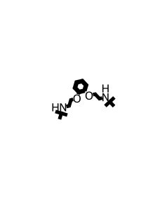 CC(C)(C)NCCOc1ccccc1OCCNC(C)(C)C